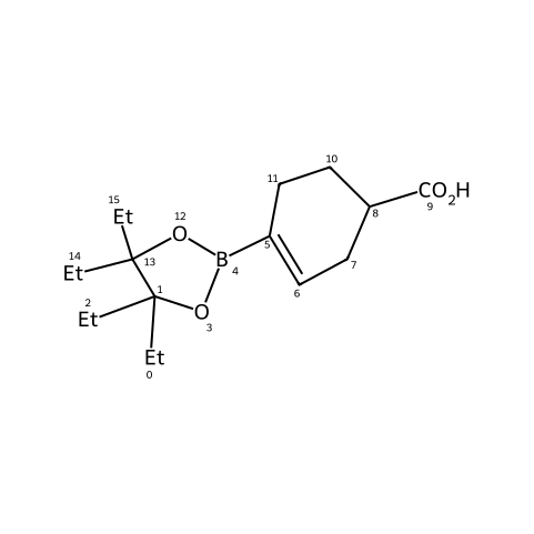 CCC1(CC)OB(C2=CCC(C(=O)O)CC2)OC1(CC)CC